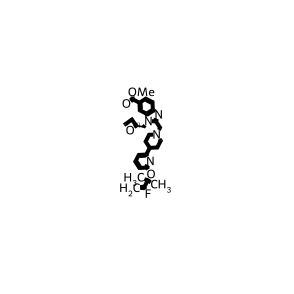 C=C(F)C(C)(C)Oc1cccc(C2CCN(Cc3nc4ccc(C(=O)OC)cc4n3C[C@@H]3CCO3)CC2)n1